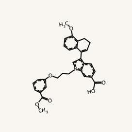 COC(=O)c1cccc(OCCCn2cc(C3=CCCc4c(OC)cccc43)c3ccc(C(=O)O)cc32)c1